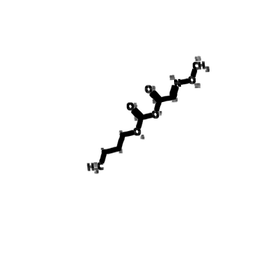 CCCCOC(=O)OC(=O)C=NOC